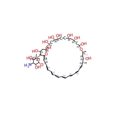 CC1OC(O[C@H]2/C=C/C=C/C=C/C=C/C=C/C=C/C=C/[C@H](C)[C@@H](O)[C@@H](C)[C@H](C)O[C@H](O)C[C@H](O)C[C@H](O)CC[C@@H](O)[C@H](O)C[C@H](O)C[C@]3(O)C[C@H](O)[C@@H](C(=O)O)[C@H](C2)O3)C(O)C(N)C1O